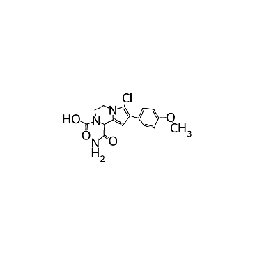 COc1ccc(-c2cc3n(c2Cl)CCN(C(=O)O)C3C(N)=O)cc1